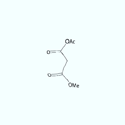 COC(=O)CC(=O)OC(C)=O